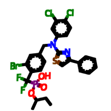 CCC(C)OP(=O)(O)C(F)(F)c1ccc(CN(c2ccc(Cl)c(Cl)c2)c2nc(-c3ccccc3)cs2)cc1Br